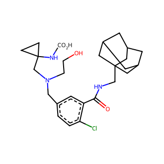 O=C(O)NC1(CN(CCO)Cc2ccc(Cl)c(C(=O)NCC34CC5CC(CC(C5)C3)C4)c2)CC1